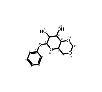 OC1C(Sc2ccccc2)OC2COCOC2C1O